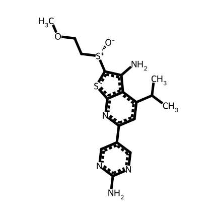 COCC[S@+]([O-])c1sc2nc(-c3cnc(N)nc3)cc(C(C)C)c2c1N